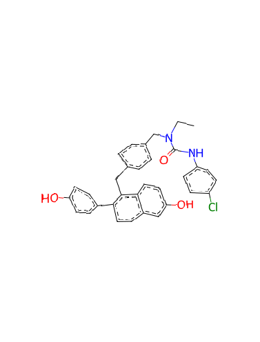 CCN(Cc1ccc(Cc2c(-c3ccc(O)cc3)ccc3cc(O)ccc23)cc1)C(=O)Nc1ccc(Cl)cc1